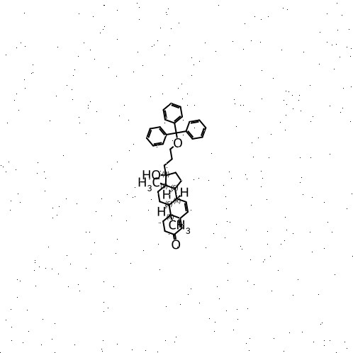 C[C@]12CCC(=O)C=C1C=C[C@@H]1[C@@H]2CC[C@@]2(C)[C@H]1CC[C@@]2(O)CCCOC(c1ccccc1)(c1ccccc1)c1ccccc1